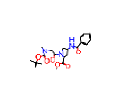 COC(=O)C1CC(NC(=O)c2ccccc2)CN1C(=O)CN(C)C(=O)OC(C)(C)C